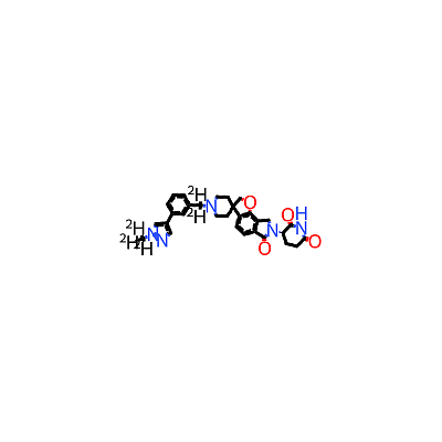 [2H]C([2H])(c1cccc(-c2cnn(C([2H])([2H])[2H])c2)c1)N1CCC2(CC1)COc1c2ccc2c1CN([C@H]1CCC(=O)NC1=O)C2=O